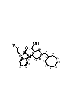 O=c1n(CCF)c2ccccc2n1C1CCN(CC2CCCCCCC2)CC1CO